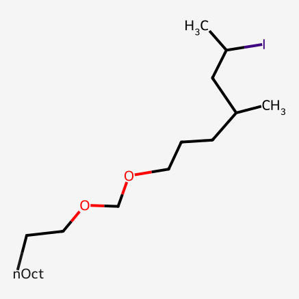 CCCCCCCCCCOCOCCCC(C)CC(C)I